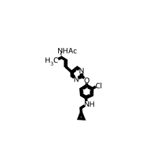 CC(=O)N[C@@H](C)/C=C/c1cnc(Oc2ccc(NCC3CC3)cc2Cl)nc1